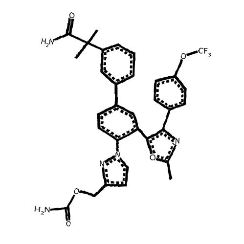 Cc1nc(-c2ccc(OC(F)(F)F)cc2)c(-c2cc(-c3cccc(C(C)(C)C(N)=O)c3)ccc2-n2ccc(COC(N)=O)n2)o1